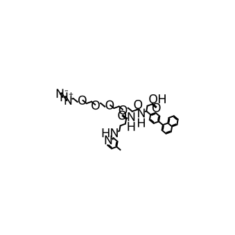 Cc1ccnc(NCCCC(=O)NC(COCCOCCOCCOCCN=[N+]=[N-])C(=O)NC(CC(=O)O)c2ccc(-c3cccc4ccccc34)cc2)c1